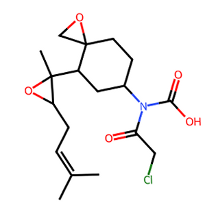 CC(C)=CCC1OC1(C)C1CC(N(C(=O)O)C(=O)CCl)CCC12CO2